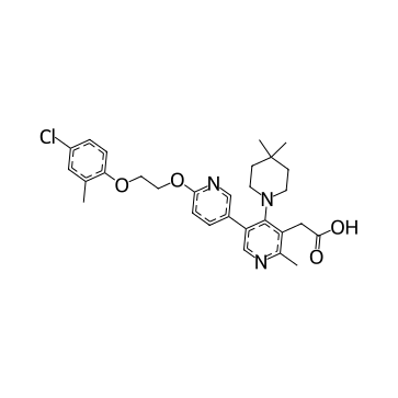 Cc1cc(Cl)ccc1OCCOc1ccc(-c2cnc(C)c(CC(=O)O)c2N2CCC(C)(C)CC2)cn1